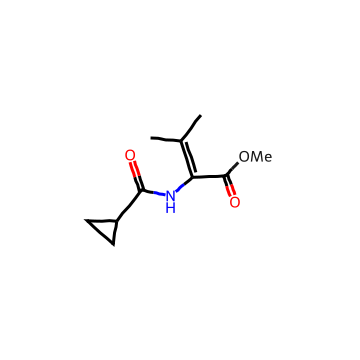 COC(=O)C(NC(=O)C1CC1)=C(C)C